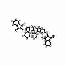 S=C1C(=CC2=Cc3sc4c(c3C23CCCCC3)C2(CCCCC2)c2c-4sc3cc(C=C4C(=S)c5ccccc5C4=S)sc23)C(=S)c2ccccc21